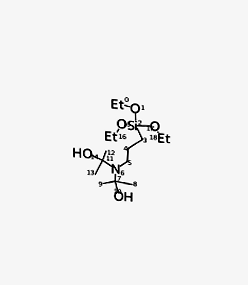 CCO[Si](CCCN(C(C)(C)O)C(C)(C)O)(OCC)OCC